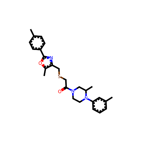 Cc1ccc(-c2nc(CSCC(=O)N3CCN(c4cccc(C)c4)C(C)C3)c(C)o2)cc1